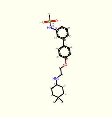 CC1(C)CCC(NCCOc2ccc(-c3cccc(NS(C)(=O)=O)c3)cc2)CC1